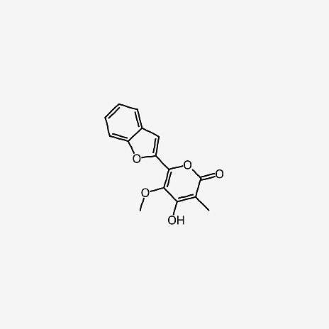 COc1c(-c2cc3ccccc3o2)oc(=O)c(C)c1O